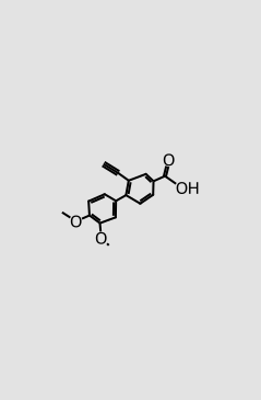 C#Cc1cc(C(=O)O)ccc1-c1ccc(OC)c(OC)c1